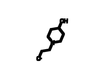 [O]CCN1CCC(O)CC1